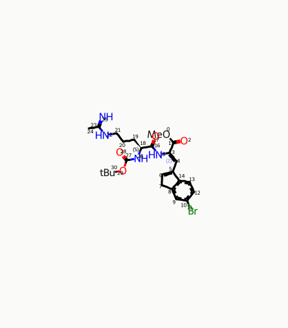 COC(=O)/C(=C/C1=CCc2cc(Br)ccc21)NC(=O)[C@H](CCCNC(C)=N)NC(=O)OC(C)(C)C